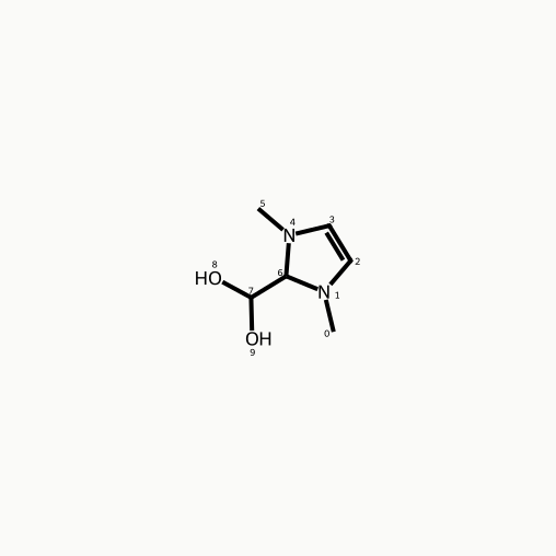 CN1C=CN(C)C1C(O)O